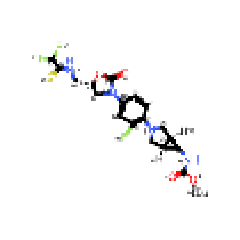 CC(C)(C)OC(=O)NC1[C@H]2CN(c3ccc(N4C[C@H](CNC(=S)C(F)F)OC4=O)cc3F)C[C@@H]12